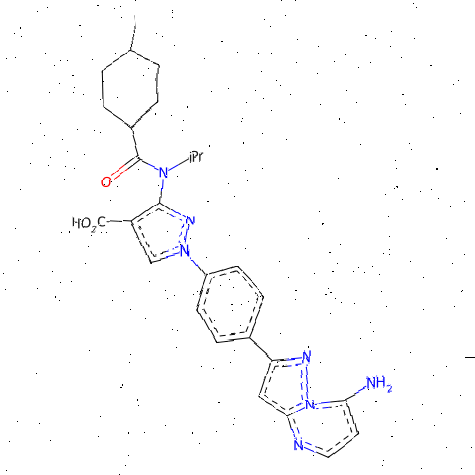 CC1CCC(C(=O)N(c2nn(-c3ccc(-c4cc5nccc(N)n5n4)cc3)cc2C(=O)O)C(C)C)CC1